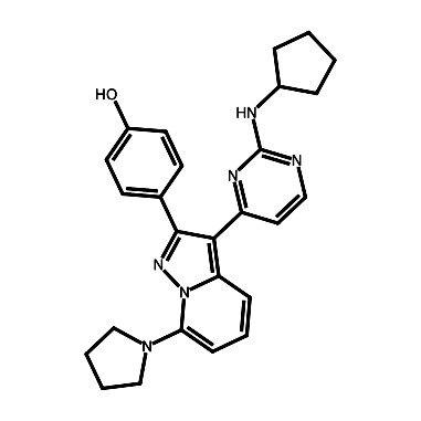 Oc1ccc(-c2nn3c(N4CCCC4)cccc3c2-c2ccnc(NC3CCCC3)n2)cc1